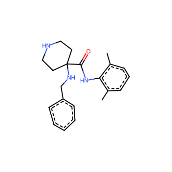 Cc1cccc(C)c1NC(=O)C1(NCc2ccccc2)CCNCC1